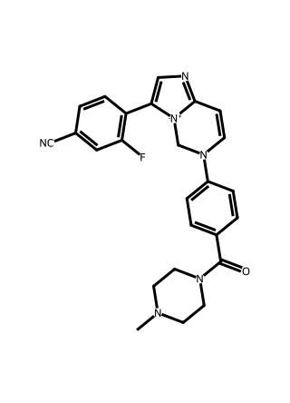 CN1CCN(C(=O)c2ccc(N3C=CC4=NC=C(c5ccc(C#N)cc5F)[N+]4C3)cc2)CC1